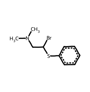 CN(C)CC(Br)Sc1ccccc1